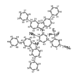 N#Cc1ccc(-c2cc(-n3c4ccc(-c5ccccc5)cc4c4cc(-c5ccccc5)ccc43)c(C#N)c(-n3c4ccc(-c5ccccc5)cc4c4cc(-c5ccccc5)ccc43)c2)c(C(F)(F)F)c1